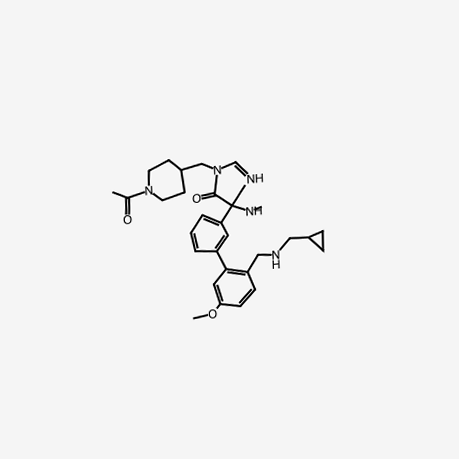 CNC(C)(C(=O)N(C=N)CC1CCN(C(C)=O)CC1)c1cccc(-c2cc(OC)ccc2CNCC2CC2)c1